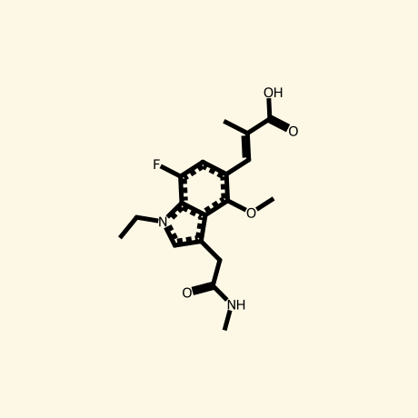 CCn1cc(CC(=O)NC)c2c(OC)c(C=C(C)C(=O)O)cc(F)c21